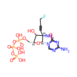 Nc1ncn([C@@H]2O[C@H](COP(=O)(O)OP(=O)(O)OP(=O)(O)O)C(O)[C@]2(N)C#CCF)c(=O)n1